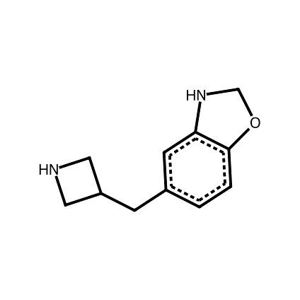 c1cc2c(cc1CC1CNC1)NCO2